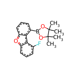 CC1(C)OB(c2cccc3oc4cccc(F)c4c23)OC1(C)C